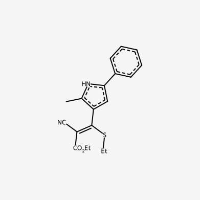 CCOC(=O)C(C#N)=C(SCC)c1cc(-c2ccccc2)[nH]c1C